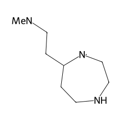 CNCCC1CCNCC[N]1